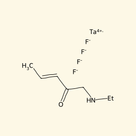 CC=CC(=O)CNCC.[F-].[F-].[F-].[F-].[Ta+4]